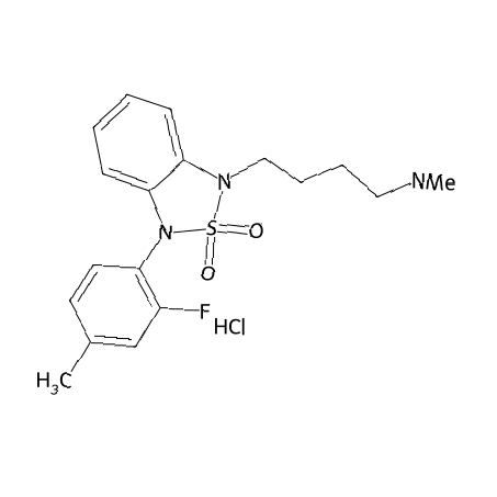 CNCCCCN1c2ccccc2N(c2ccc(C)cc2F)S1(=O)=O.Cl